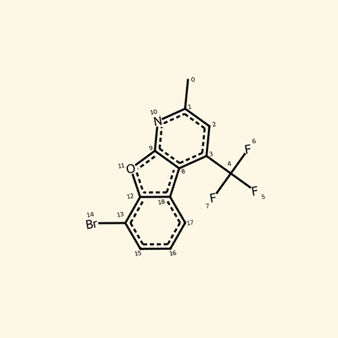 Cc1cc(C(F)(F)F)c2c(n1)oc1c(Br)cccc12